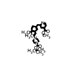 C=Nc1ccc(Cc2cc(C(=O)OC)ccn2)cc1/C=C(\C)N1CCN(C(=O)OC(C)(C)C)CC1